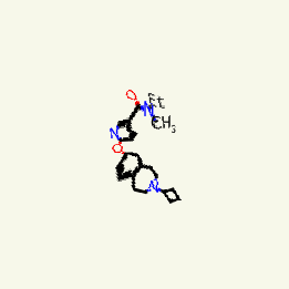 CCN(C)C(=O)c1ccc(Oc2ccc3c(c2)CCN(C2CCC2)CC3)nc1